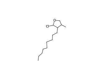 CCCCCCCCCC1C(C)COC1Cl